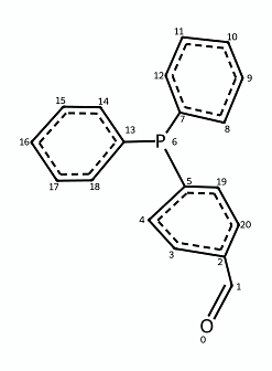 O=Cc1ccc(P(c2ccccc2)c2ccccc2)cc1